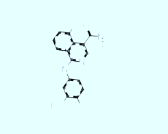 Cc1cc(Nc2ncc(C(=O)N(C)C)c3c(Cl)cccc23)ccc1Cl